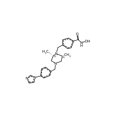 C[C@@H]1CN(Cc2ccc(-n3ccnc3)cc2)C[C@H](C)N1Cc1ccc(C(=O)NO)cc1